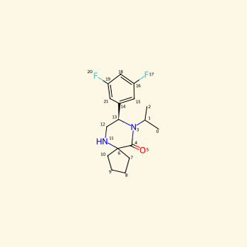 CC(C)N1C(=O)C2(CCCC2)NC[C@H]1c1cc(F)cc(F)c1